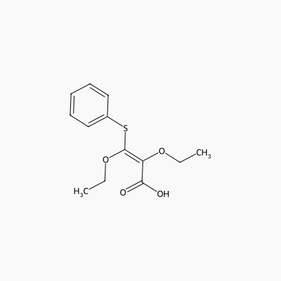 CCOC(Sc1ccccc1)=C(OCC)C(=O)O